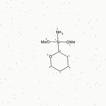 CO[Si](N)(OC)C1CCCCO1